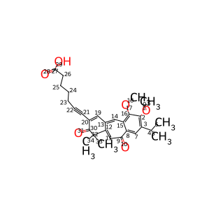 COc1c(C(C)C)cc2c(=O)cc3c(cc2c1OC)C=C(C#CCCCCC(=O)O)C(=O)C3(C)C